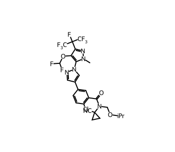 CC(C)OCN(C(=O)c1cc(-c2cnn(-c3c(OC(F)F)c(C(F)(C(F)(F)F)C(F)(F)F)nn3C)c2)ccc1Cl)C1(C#N)CC1